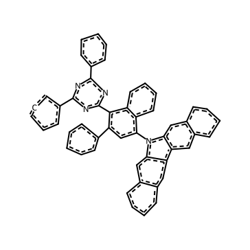 c1ccc(-c2nc(-c3ccccc3)nc(-c3c(-c4ccccc4)cc(-n4c5cc6ccccc6cc5c5cc6ccccc6cc54)c4ccccc34)n2)cc1